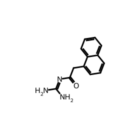 NC(N)=NC(=O)Cc1cccc2ccccc12